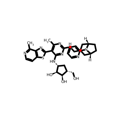 Cc1nc(NCC2C[C@H]3CC[C@@H](C2)N3c2ccccn2)nc(N[C@@H]2C[C@H](CO)[C@@H](O)[C@H]2O)c1-c1nc2c(C)nccc2s1